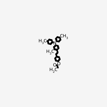 C=CC(=O)Oc1ccc(C=Cc2ccc(N(c3ccc(C)cc3)c3ccc(C)cc3)cc2C)cc1